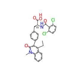 CCc1c(-c2ccc(C[C@H](NC(=O)c3c(Cl)cccc3Cl)C(=O)O)cc2)c(=O)n(C)c2ccccc12